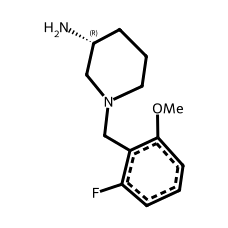 COc1cccc(F)c1CN1CCC[C@@H](N)C1